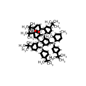 Cc1ccc(N(c2ccc(C(C)(C)C)cc2)c2cc3c4c(c2)N(c2ccc(C(C)(C)C)cc2-c2ccc(C(C)(C)C)cc2)c2ccc(C(C)(C)C)cc2B4c2cc(C(C)(C)C)ccc2N3c2ccc(C(C)(C)C)cc2)c(C)c1